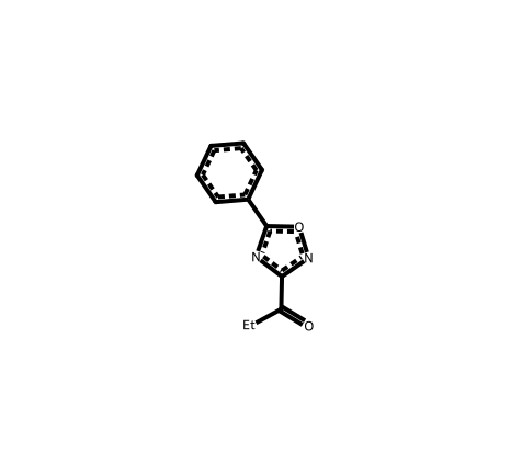 CCC(=O)c1noc(-c2ccccc2)n1